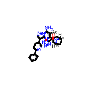 CC(=O)c1c(C2C[C@H]3CC[C@@H](C2)N3C(=O)c2nnn[nH]2)nc2c(-c3ccc(-c4ccccc4)nc3)cnn2c1N